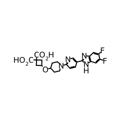 O=C(O)C1(C(=O)O)CC(OC2CCN(c3ccc(-c4nc5cc(F)c(F)cc5[nH]4)cn3)CC2)C1